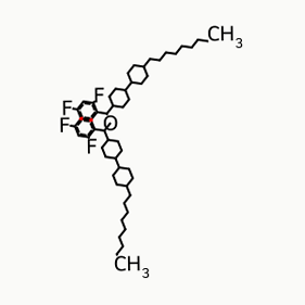 CCCCCCCCCC1CCC(C2CCC(C(OC(c3ccc(F)cc3F)C3CCC(C4CCC(CCCCCCCCC)CC4)CC3)c3ccc(F)cc3F)CC2)CC1